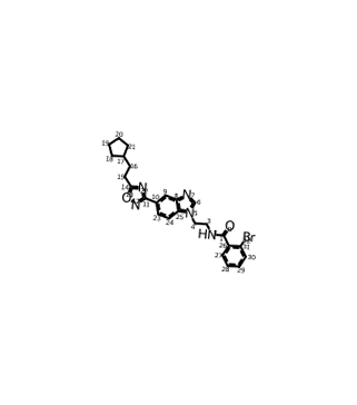 O=C(NCCn1cnc2cc(-c3noc(CCC4CCCC4)n3)ccc21)c1ccccc1Br